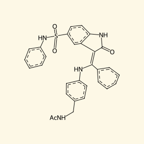 CC(=O)NCc1ccc(NC(=C2C(=O)Nc3ccc(S(=O)(=O)Nc4ccccc4)cc32)c2ccccc2)cc1